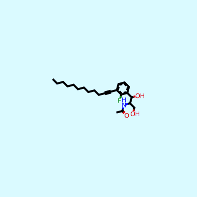 CCCCCCCCCCC#Cc1cccc(C(O)C(CO)NC(C)=O)c1F